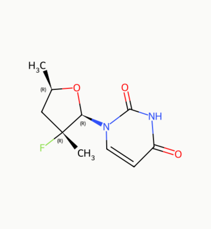 C[C@@H]1C[C@@](C)(F)[C@H](n2ccc(=O)[nH]c2=O)O1